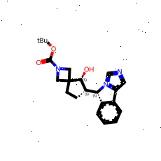 CC(C)(C)OC(=O)N1CC2(CC[C@@H]([C@H]3c4ccccc4-c4cncn43)[C@@H]2O)C1